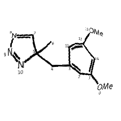 COc1cc(CC2(C)C=NN=N2)cc(OC)c1